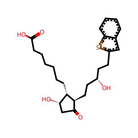 O=C(O)CCCCCC[C@H]1[C@@H](O)CC(=O)[C@@H]1CC[C@@H](O)CCc1cc2ccccc2s1